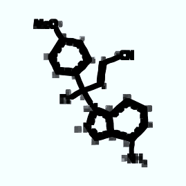 CCC(C=CC#N)(c1ccc(OC)cc1)n1ncc2c(N)cccc21